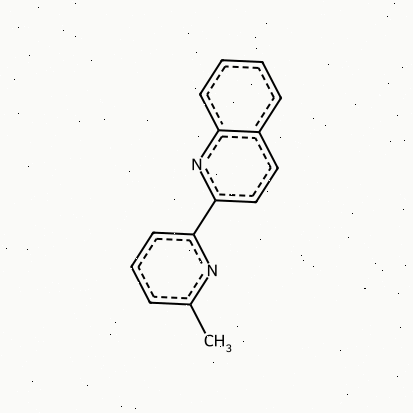 Cc1cccc(-c2ccc3ccccc3n2)n1